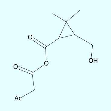 CC(=O)CC(=O)OC(=O)C1C(CO)C1(C)C